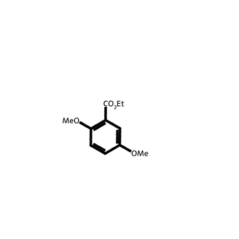 CCOC(=O)c1cc(OC)ccc1OC